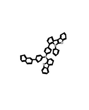 c1ccc(-n2c3oc4ccccc4c3c3cccc(-c4ccc(N(c5ccc(-c6ccc7ccccc7c6)cc5)c5cccc6c5sc5ccccc56)cc4)c32)cc1